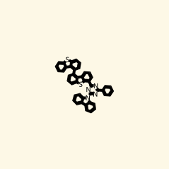 c1ccc(-c2nc(-c3cccc4c3sc3cccc(-c5cccc6sc7ccccc7c56)c34)nc(-n3c4ccccc4c4ccccc43)n2)cc1